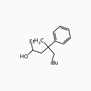 CCC(C)CC(C)(CC(O)CC)c1ccccc1